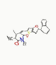 CCN1C(=O)C(C#N)=C(C)/C(=C/c2cc3oc(-c4cccc5ccccc45)cc3s2)C1=O